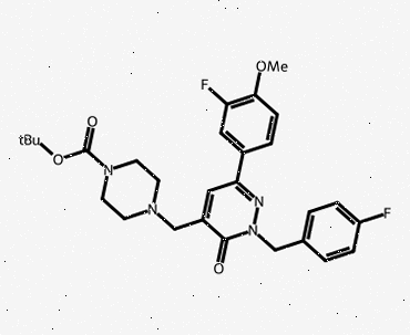 COc1ccc(-c2cc(CN3CCN(C(=O)OC(C)(C)C)CC3)c(=O)n(Cc3ccc(F)cc3)n2)cc1F